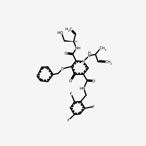 C=CC(C)Nn1cc(C(=O)NCc2c(F)cc(F)cc2F)c(=O)c(OCc2ccccc2)c1C(=O)N[C@H](C=C)CO